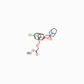 CC(C)(C)OC(=O)COCc1cc(Cl)ccc1OCC(=O)N1C2CCC1CC(Oc1ccc(F)cc1)C2